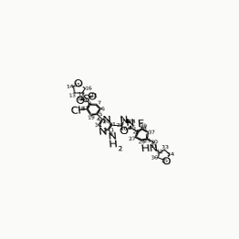 Nc1ncc(-c2ccc(S(=O)(=O)C3CCOC3)c(Cl)c2)nc1-c1nnc(-c2ccc(CNC3CCOC3)cc2F)o1